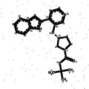 CC(C)(C)OC(=O)N1CC[C@@H](Oc2cnccc2-c2cc3ncccc3[nH]2)C1